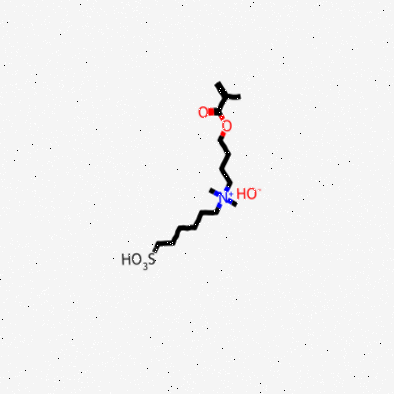 C=C(C)C(=O)OCCCC[N+](C)(C)CCCCCCS(=O)(=O)O.[OH-]